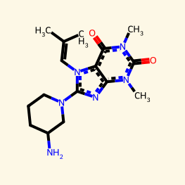 CC(C)=Cn1c(N2CCCC(N)C2)nc2c1c(=O)n(C)c(=O)n2C